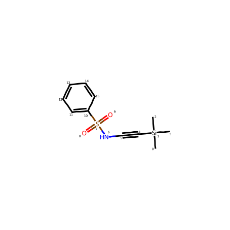 C[Si](C)(C)C#CNS(=O)(=O)c1ccccc1